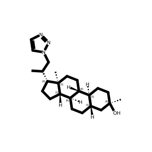 CC(Cn1ccnn1)[C@H]1CC[C@H]2[C@@H]3CC[C@H]4C[C@](C)(O)CC[C@@H]4[C@H]3CC[C@]12C